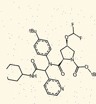 CC(C)(C)OC(=O)N1C[C@H](OC(F)F)C[C@@H]1C(=O)N(c1ccc(C(C)(C)C)cc1)C(C(=O)NC1CCCCC1)c1cccnc1